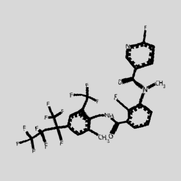 Cc1cc(C(F)(C(F)(F)F)C(F)(F)C(F)(F)F)cc(C(F)(F)F)c1NC(=O)c1cccc(N(C)C(=O)c2ccc(F)nc2)c1F